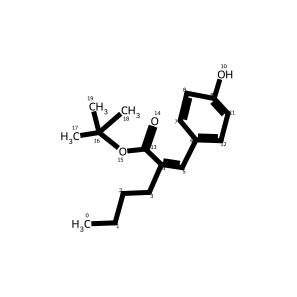 CCCCC(=Cc1ccc(O)cc1)C(=O)OC(C)(C)C